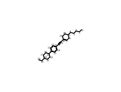 CCCCCC1CC=C(C#Cc2ccc(C3CCC(CC)CC3)cc2)CC1